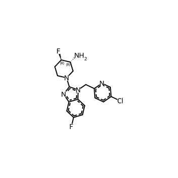 N[C@@H]1CN(c2nc3cc(F)ccc3n2Cc2ccc(Cl)cn2)CC[C@H]1F